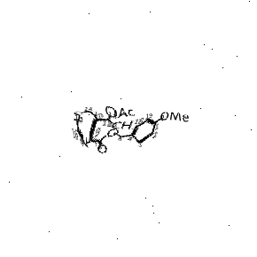 COc1ccc(COC(=O)C2=C(C(C)OC(C)=O)CSC=N2)cc1